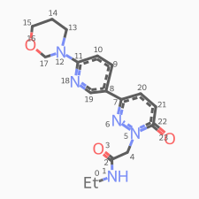 CCNC(=O)Cn1nc(-c2ccc(N3CCCOC3)nc2)ccc1=O